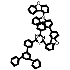 c1ccc(-c2cc(-c3ccccc3)cc(-c3cccc(-c4nc(-c5ccccc5)nc(-c5cccc6oc7ccc(-c8ccc9c(c8)c8ccccc8n9-c8cccc9oc%10ccccc%10c89)cc7c56)n4)c3)c2)cc1